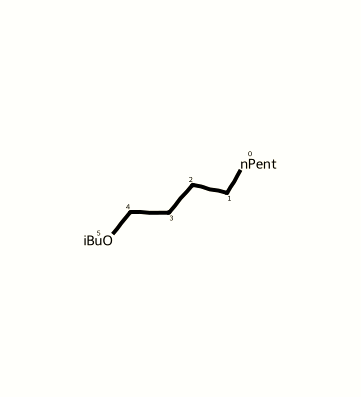 CCCCCCCCCOCC(C)C